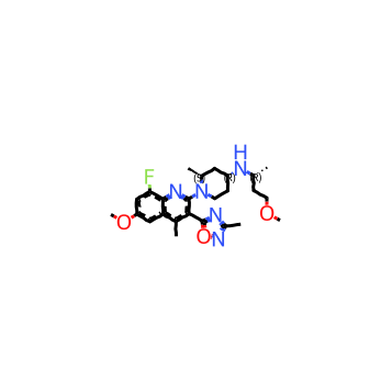 COCC[C@@H](C)N[C@@H]1CCN(c2nc3c(F)cc(OC)cc3c(C)c2-c2nc(C)no2)[C@@H](C)C1